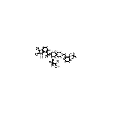 CC1(C)Cc2cccc(CN3CCC4(CC3)CCN(C(=O)c3cccc5c3NC(=O)C5=O)CC4)c2O1.O=C(O)C(F)(F)F